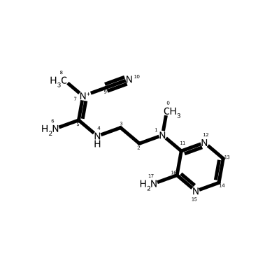 CN(CCNC(N)=[N+](C)C#N)c1nccnc1N